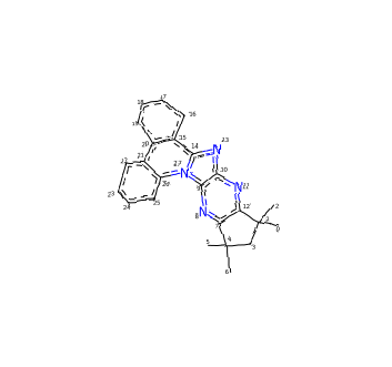 CC1(C)CC(C)(C)c2nc3c(nc21)nc1c2ccccc2c2ccccc2n31